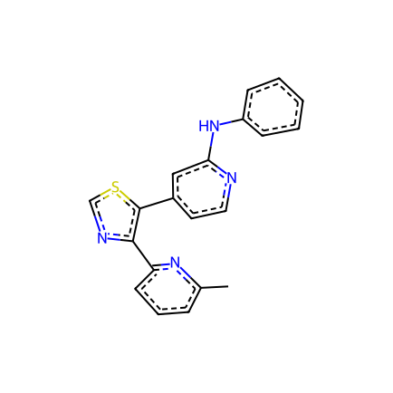 Cc1cccc(-c2ncsc2-c2ccnc(Nc3ccccc3)c2)n1